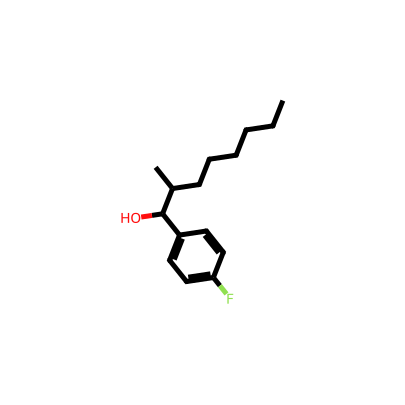 CCCCCCC(C)C(O)c1ccc(F)cc1